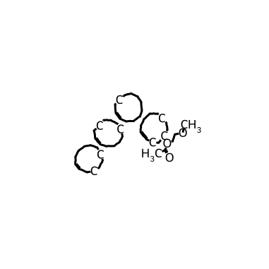 C1=C\CCCCCCCCCC/1.C1=C\CCCCCCCCCC/1.C1=C\CCCCCCCCCC/1.C1=C\CCCCCCCCCC/1.COCCOC(C)=O